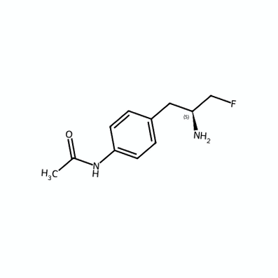 CC(=O)Nc1ccc(C[C@H](N)CF)cc1